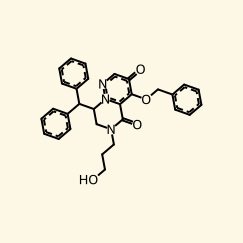 O=C1c2c(OCc3ccccc3)c(=O)cnn2C(C(c2ccccc2)c2ccccc2)CN1CCCO